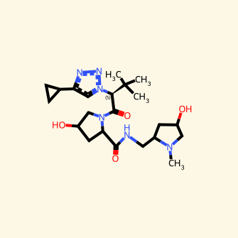 CN1CC(O)CC1CNC(=O)C1CC(O)CN1C(=O)[C@@H](n1cc(C2CC2)nn1)C(C)(C)C